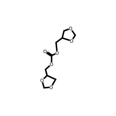 O=C(OCC1COCO1)OCC1COCO1